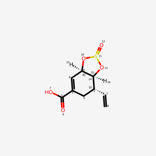 C=C[C@@H]1CC(C(=O)O)=C[C@H]2OS(=O)O[C@@H]12